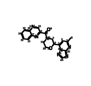 Cc1cc(C2CN(C(=O)c3cnc4ccccc4n3)CCO2)n2ncnc2n1